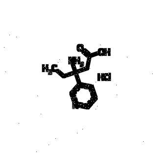 CCC(N)(CC(=O)O)c1cccnc1.Cl